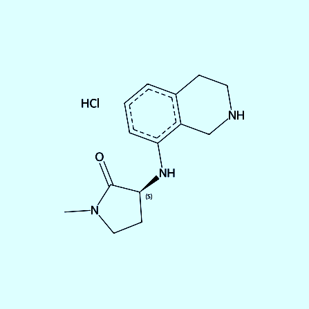 CN1CC[C@H](Nc2cccc3c2CNCC3)C1=O.Cl